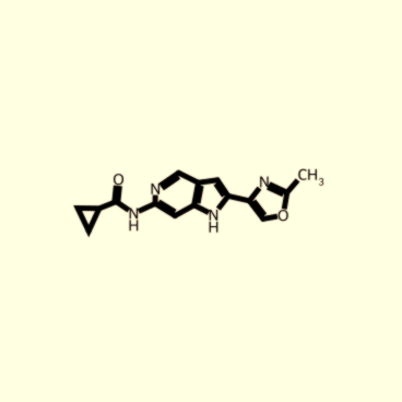 Cc1nc(-c2cc3cnc(NC(=O)C4CC4)cc3[nH]2)co1